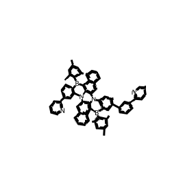 Cc1cc(C)c(B2c3cc(-c4cccc(-c5ccccn5)c4)ccc3N3c4cc5ccccc5c5c4N(c4cc(-c6ccccn6)ccc4B5c4c(C)cc(C)cc4C)c4cc5ccccc5c2c43)c(C)c1